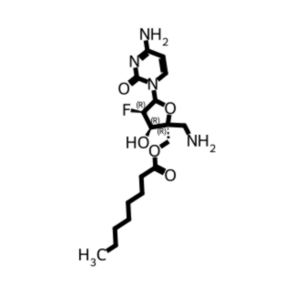 CCCCCCCC(=O)OC[C@@]1(CN)OC(n2ccc(N)nc2=O)[C@H](F)[C@@H]1O